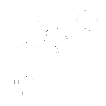 CCCC(CCC(=O)NO)N1C(=O)C/C(=C\c2ccccc2)C1=O